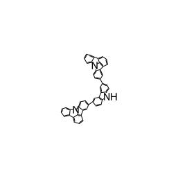 c1ccc2c(c1)c1cccc3c4cc(-c5ccc6[nH]c7ccc(-c8ccc9c(c8)c8cccc%10c%11ccccc%11n9c%108)cc7c6c5)ccc4n2c13